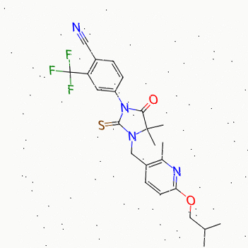 Cc1nc(OCC(C)C)ccc1CN1C(=S)N(c2ccc(C#N)c(C(F)(F)F)c2)C(=O)C1(C)C